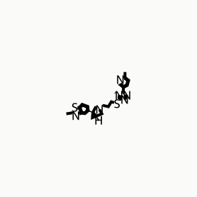 Cc1ccc(-c2nnc(SCCCN3C[C@@H]4C[C@]4(c4ccc5sc(C)nc5c4)C3)n2C)cn1